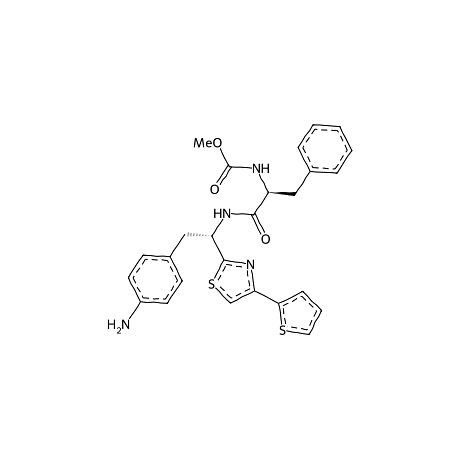 COC(=O)N[C@@H](Cc1ccccc1)C(=O)N[C@@H](Cc1ccc(N)cc1)c1nc(-c2cccs2)cs1